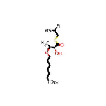 CCCCCCCCCCCCCCCCOC(C)[C@H](O)C(=O)SCC(CC)CCCC